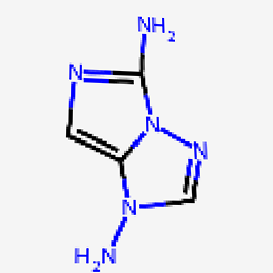 Nc1ncc2n(N)cnn12